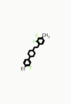 CCc1ccc(C2CCC(CCc3ccc(C)c(F)c3F)CC2)cc1F